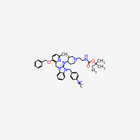 [C-]#[N+]c1ccc(Cn2/c(=N\C3CCN(CCNC(=O)OC(C)(C)C)CC3)n(Cc3nc(C)ccc3OCc3ccccc3)c3ccccc32)cc1